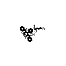 CC(C)CCCC(=O)Nc1ccc(C(c2c(O)c3ccccc3oc2=O)c2c(O)c3ccccc3oc2=O)cc1